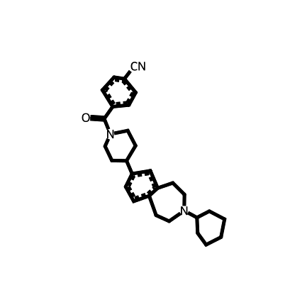 N#Cc1ccc(C(=O)N2CCC(c3ccc4c(c3)CCN(C3CCCCC3)CC4)CC2)cc1